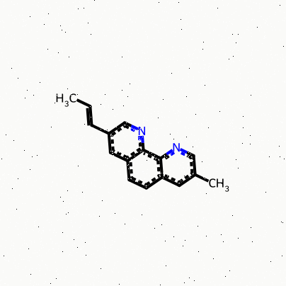 C/C=C/c1cnc2c(ccc3cc(C)cnc32)c1